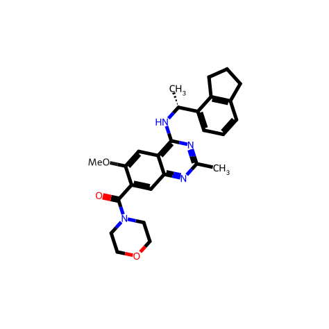 COc1cc2c(N[C@H](C)c3cccc4c3CCC4)nc(C)nc2cc1C(=O)N1CCOCC1